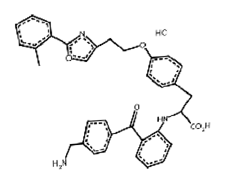 Cc1ccccc1-c1nc(CCOc2ccc(CC(Nc3ccccc3C(=O)c3ccc(CN)cc3)C(=O)O)cc2)co1.Cl